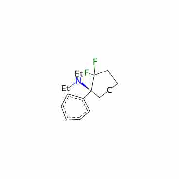 CCN(CC)[C@]1(c2ccccc2)CCCCC1(F)F